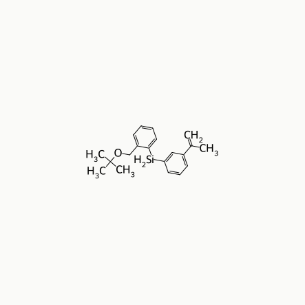 C=C(C)c1cccc([SiH2]c2ccccc2COC(C)(C)C)c1